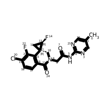 Cc1cnc(NC(=O)CN2C[C@@]3(C[C@H]3F)c3c(ccc(Cl)c3F)C2=O)nc1